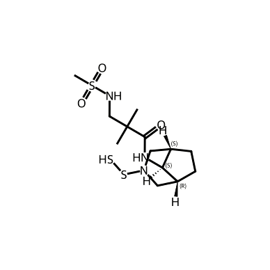 CC(C)(CNS(C)(=O)=O)C(=O)N[C@@H]1[C@@H]2CC[C@H]1CN(SS)C2